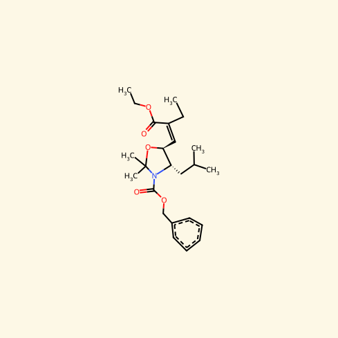 CCOC(=O)C(=C[C@@H]1OC(C)(C)N(C(=O)OCc2ccccc2)[C@H]1CC(C)C)CC